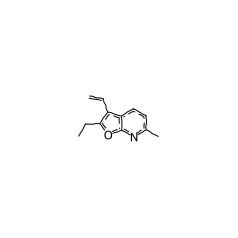 C=Cc1c(CC)oc2nc(C)ccc12